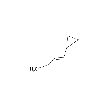 [CH2]CC=CC1CC1